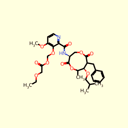 CCOCC(=O)OCOc1c(OC)ccnc1C(=O)N[C@H]1COC(=O)C(Cc2ccccc2)[C@@H](OCC(C)C)C(C)OC1=O